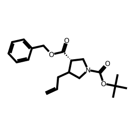 C=CCC1CN(C(=O)OC(C)(C)C)C[C@H]1C(=O)OCc1ccccc1